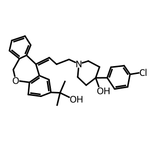 CC(C)(O)c1ccc2c(c1)C(=CCCN1CCC(O)(c3ccc(Cl)cc3)CC1)c1ccccc1CO2